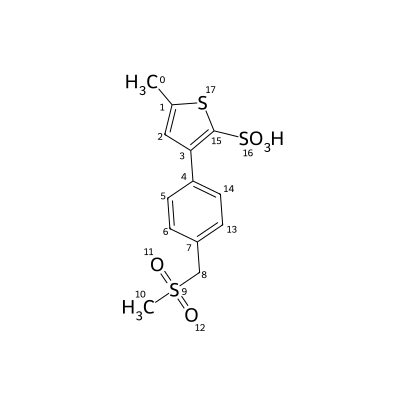 Cc1cc(-c2ccc(CS(C)(=O)=O)cc2)c(S(=O)(=O)O)s1